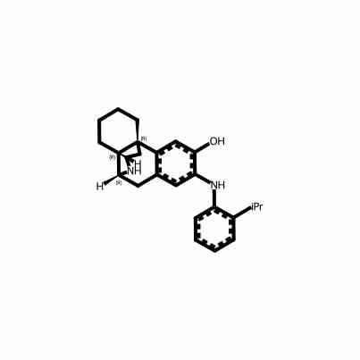 CC(C)c1ccccc1Nc1cc2c(cc1O)[C@@]13CCCC[C@H]1[C@@H](C2)NCC3